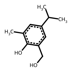 Cc1cc(C(C)C)cc(CO)c1O